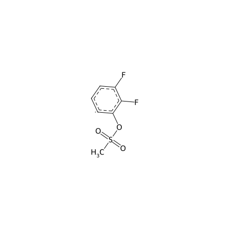 CS(=O)(=O)Oc1[c]ccc(F)c1F